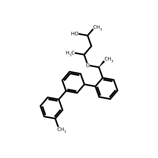 Cc1cccc(C2=CC(c3ccccc3[C@H](C)OC(C)CC(C)O)C=C=C2)c1